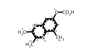 Cc1nc2cc(OC(=O)O)cc(C)c2nc1C